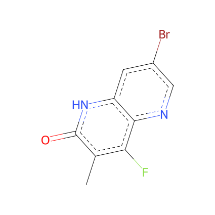 Cc1c(F)c2ncc(Br)cc2[nH]c1=O